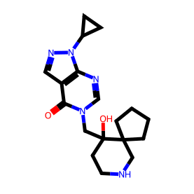 O=c1c2cnn(C3CC3)c2ncn1CC1(O)CCNCC12CCCC2